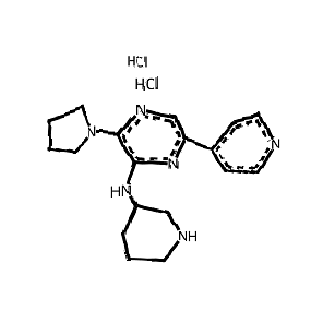 Cl.Cl.c1cc(-c2cnc(N3CCCC3)c(NC3CCCNC3)n2)ccn1